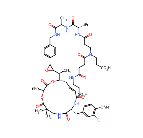 CCC[C@@H]1OC(=O)C(C)(C)CNC(=O)[C@@H](Cc2ccc(OC)c(Cl)c2)NC(=O)/C=C/C[C@@H]([C@H](C)[C@H]2O[C@@H]2c2ccc(CNC(=O)[C@H](C)NC(=O)[C@@H](NC(=O)CCN(CCC(=O)O)C(=O)CCC(=O)NCCS(=O)(=O)O)C(C)C)cc2)OC1=O